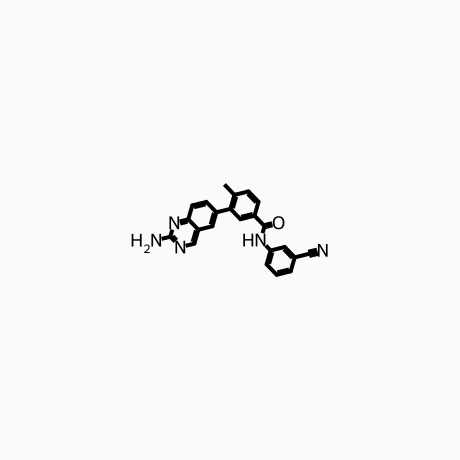 Cc1ccc(C(=O)Nc2cccc(C#N)c2)cc1-c1ccc2nc(N)ncc2c1